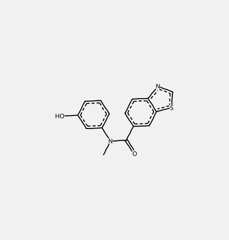 CN(C(=O)c1ccc2ncsc2c1)c1cccc(O)c1